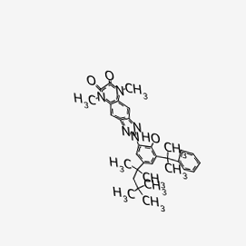 Cn1c(=O)c(=O)n(C)c2cc3nn(-c4cc(C(C)(C)CC(C)(C)C)cc(C(C)(C)c5ccccc5)c4O)nc3cc21